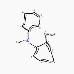 CCCCCc1ccccc1N(C)c1ccccc1